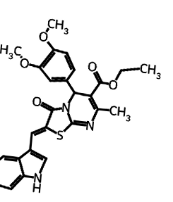 CCOC(=O)C1=C(C)N=c2s/c(=C\c3c[nH]c4ccccc34)c(=O)n2C1c1ccc(OC)c(OC)c1